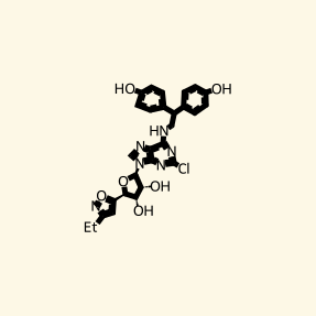 CCc1cc([C@H]2O[C@@H](n3cnc4c(NCC(c5ccc(O)cc5)c5ccc(O)cc5)nc(Cl)nc43)[C@H](O)[C@@H]2O)on1